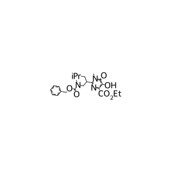 CCOC(=O)c1nc(C(CC(C)C)CN(C)C(=O)OCc2ccccc2)n(C)c(=O)c1O